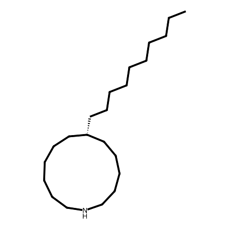 CCCCCCCCCC[C@H]1CCCCCCNCCCCC1